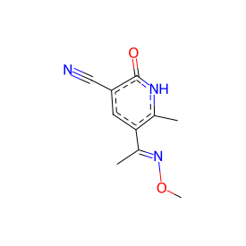 CON=C(C)c1cc(C#N)c(=O)[nH]c1C